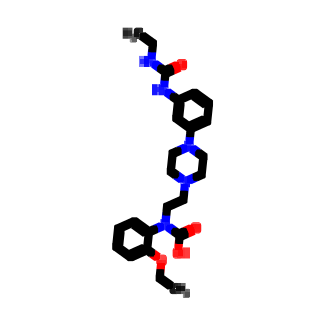 CCNC(=O)Nc1cccc(N2CCN(CCN(C(=O)O)c3ccccc3OCC)CC2)c1